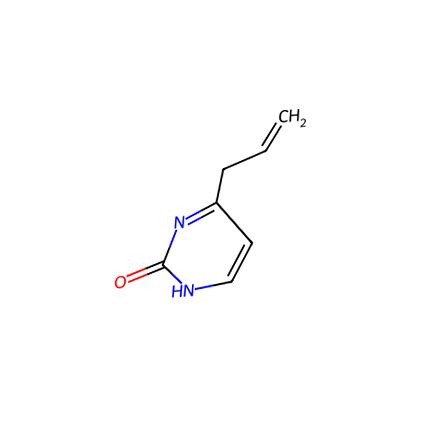 C=CCc1cc[nH]c(=O)n1